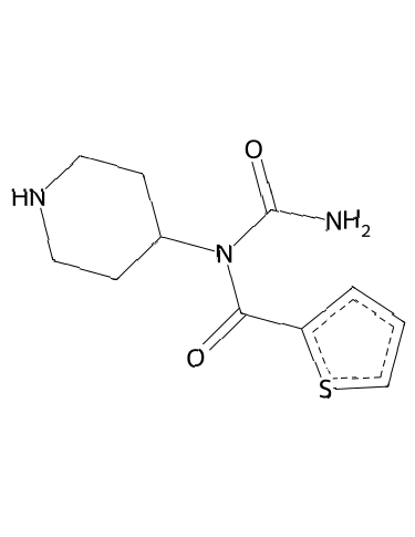 NC(=O)N(C(=O)c1cccs1)C1CCNCC1